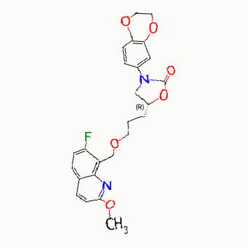 COc1ccc2ccc(F)c(COCCC[C@@H]3CN(c4ccc5c(c4)OCCO5)C(=O)O3)c2n1